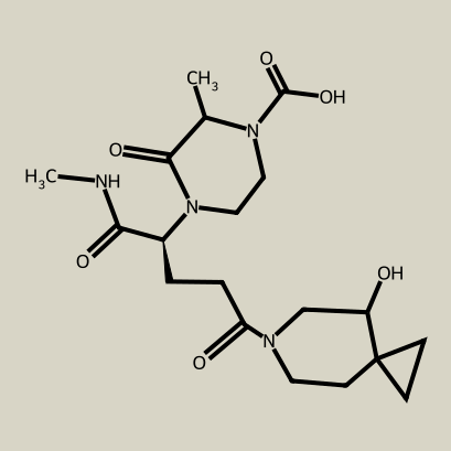 CNC(=O)[C@H](CCC(=O)N1CCC2(CC2)C(O)C1)N1CCN(C(=O)O)C(C)C1=O